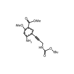 COC(=O)c1cc(C#CCNC(=O)OC(C)(C)C)c(N)cc1OC